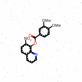 COc1ccc(C(=O)Oc2c([N+](=O)[O-])ccc3cccnc23)cc1OC